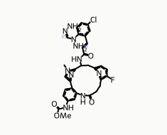 COC(=O)Nc1ccc2c(c1)NC(=O)CCc1nc(ccc1F)CC(NC(=O)/C=C/c1cc(Cl)ccc1N(N)/C=N\N)c1nc-2cn1C